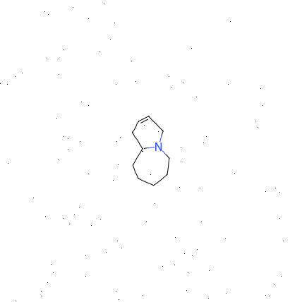 C1=CCN2CCCCC[C]2C1